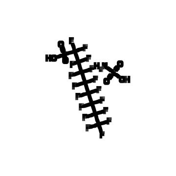 NS(=O)(=O)O.O=S(=O)(O)C(F)(F)C(F)(F)C(F)(F)C(F)(F)C(F)(F)C(F)(F)C(F)(F)C(F)(F)F